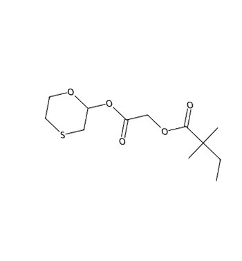 CCC(C)(C)C(=O)OCC(=O)OC1CSCCO1